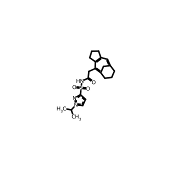 CC(C)n1ccc(S(=O)(=O)NC(=O)CC2=C3CCCC(=CC4=C2CCC4)C3)n1